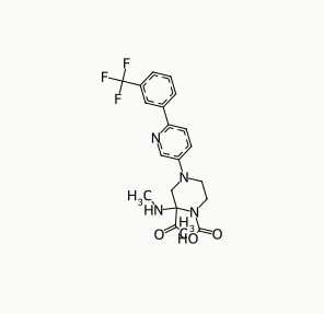 CNC1(C(C)=O)CN(c2ccc(-c3cccc(C(F)(F)F)c3)nc2)CCN1C(=O)O